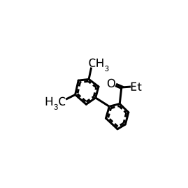 CCC(=O)c1ccccc1-c1cc(C)cc(C)c1